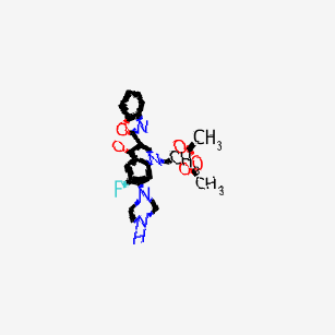 CC(=O)OC(C)=O.CCn1cc(-c2nc3ccccc3o2)c(=O)c2cc(F)c(N3CCNCC3)cc21